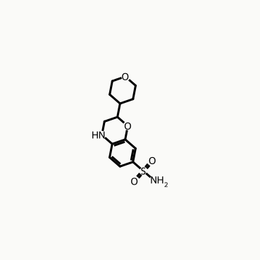 NS(=O)(=O)c1ccc2c(c1)OC(C1CCOCC1)CN2